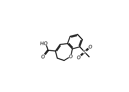 CS(=O)(=O)c1cccc2c1OCCC(C(=O)O)=C2